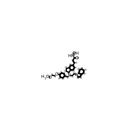 COCCOc1ccc(CN(CCn2ccc3ccccc32)C2CCc3cc(C=CC(=O)NO)ccc32)cc1